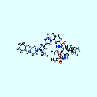 COc1c(NC(=O)c2ccc(C)c(-n3cc(-c4cn(C)c(N5CCN(Cc6ccccc6)CC5)n4)nn3)c2)cc(C(C)(C)C)cc1NS(C)(=O)=O